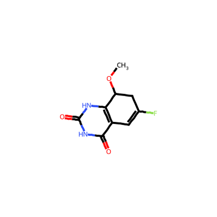 COC1CC(F)=Cc2c1[nH]c(=O)[nH]c2=O